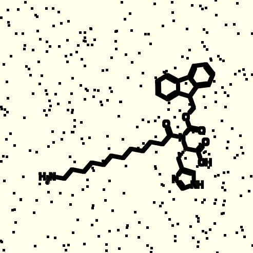 NCCCCCCCCCCCC(=O)N(C(=O)OCC1c2ccccc2-c2ccccc21)[C@@H](Cc1c[nH]cn1)C(=O)O